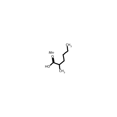 CCCCC(C)C(=O)O.[Mn]